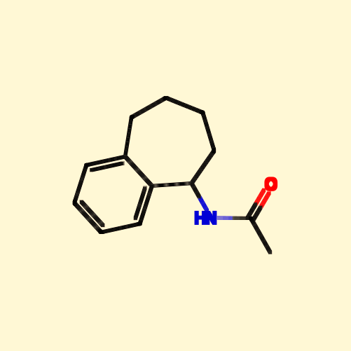 CC(=O)NC1CCCCc2ccccc21